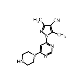 Cc1nn(-c2cc(N3CCNCC3)ncn2)c(C)c1C#N